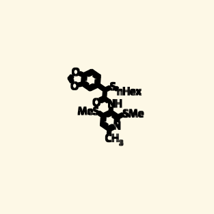 CCCCCCSC(C(=O)Nc1c(SC)cc(C)nc1SC)c1ccc2c(c1)OCO2